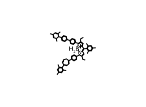 Bn1c(/C(=C2/C=C(CC)C(c3ccc(C4=CC=C(c5c(C)cc(C)cc5C)C=CC4)cc3)=N2)c2c(C)cc(C)cc2C)cc(CC)c1-c1ccc(-c2ccc(C3C(C)=CC(C)=CC3C)cc2)cc1